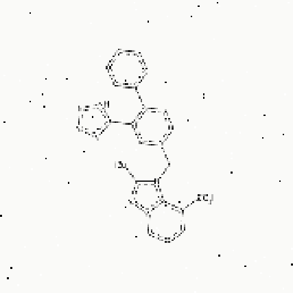 CCC(C)c1nc2cccc(C(=O)O)c2n1Cc1ccc(-c2ccccc2)c(-c2nnn[nH]2)c1